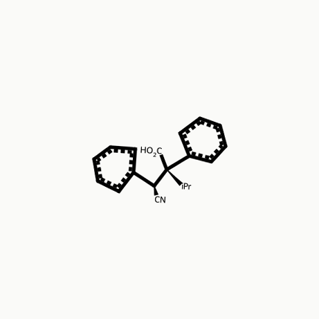 CC(C)[C@@](C(=O)O)(c1ccccc1)[C@@H](C#N)c1ccccc1